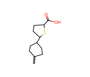 C=C1CCC(C2CCC(C(=O)O)S2)CC1